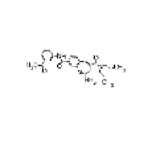 CCCN(CCC)C(=O)C1=Cc2ccc(C(=O)Nc3cccc(C(C)=O)c3)cc2N=C(N)C1